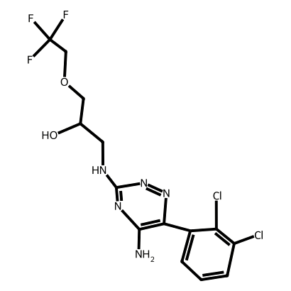 Nc1nc(NCC(O)COCC(F)(F)F)nnc1-c1cccc(Cl)c1Cl